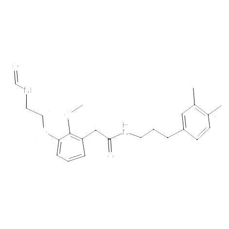 COc1c(CC(=O)NCCCc2ccc(C)c(C)c2)cccc1OCCNC=O